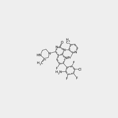 Cc1ccnc(C(C)C)c1-n1c(=O)nc(N2CCN[C@H](C)C2)c2cc(F)c(-c3c(N)c(F)c(F)c(Cl)c3F)nc21